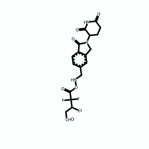 CCC(CC=O)C(F)(F)C(=O)ONCc1ccc2c(c1)CN(C1CCC(=O)NC1=O)C2=O